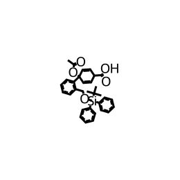 CC(=O)OC1(c2ccccc2CO[Si](c2ccccc2)(c2ccccc2)C(C)(C)C)C=CC(C(=O)O)C=C1